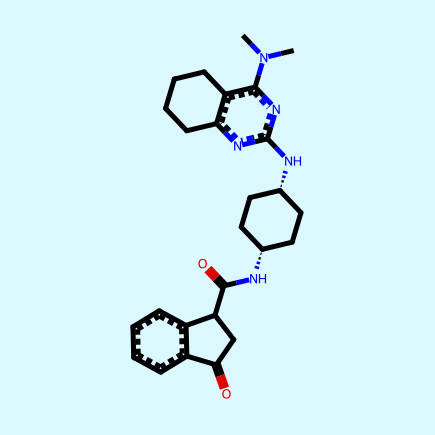 CN(C)c1nc(N[C@H]2CC[C@@H](NC(=O)C3CC(=O)c4ccccc43)CC2)nc2c1CCCC2